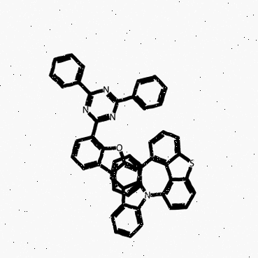 C1=CC2c3ccccc3N(c3cccc4sc5cccc(-c6cccc7c6oc6c(-c8nc(-c9ccccc9)nc(-c9ccccc9)n8)cccc67)c5c34)C2C=C1